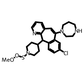 COOSN1CCC(C2c3ccc(Cl)cc3C(N3CCCNCC3)=Cc3cccnc32)CC1